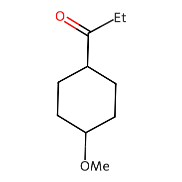 CCC(=O)C1CCC(OC)CC1